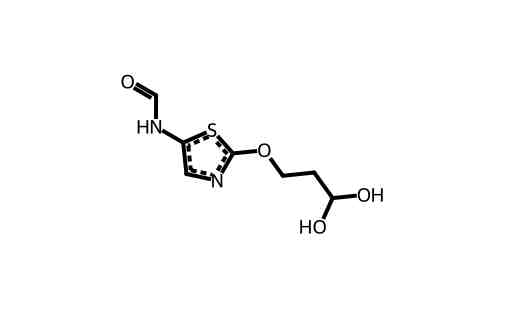 O=CNc1cnc(OCCC(O)O)s1